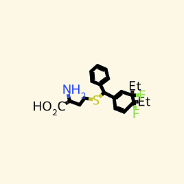 CCC1(F)C=CC(C(SCCC(N)C(=O)O)c2ccccc2)=CC1(F)CC